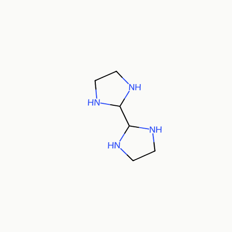 C1CNC(C2NCCN2)N1